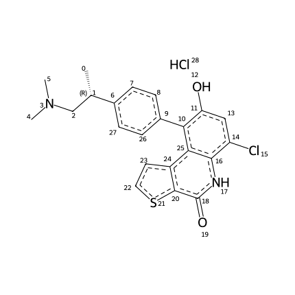 C[C@@H](CN(C)C)c1ccc(-c2c(O)cc(Cl)c3[nH]c(=O)c4sccc4c23)cc1.Cl